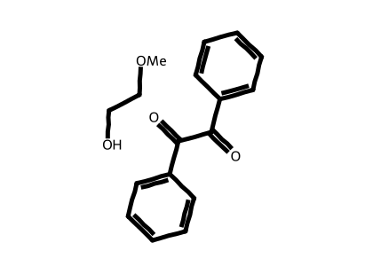 COCCO.O=C(C(=O)c1ccccc1)c1ccccc1